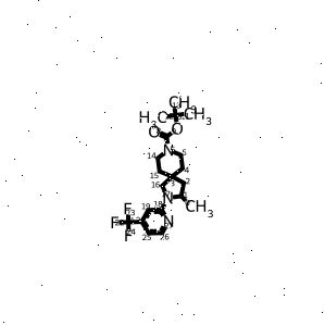 CC1CC2(CCN(C(=O)OC(C)(C)C)CC2)CN1c1cc(C(F)(F)F)ccn1